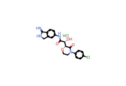 Cl.N=C1NCc2cc(NC(=O)[C@H](O)[C@H]3OCCN(c4ccc(Cl)cc4)C3=O)ccc21